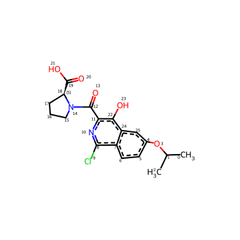 CC(C)Oc1ccc2c(Cl)nc(C(=O)N3CCC[C@H]3C(=O)O)c(O)c2c1